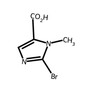 Cn1c(C(=O)O)cnc1Br